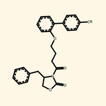 N#Cc1ccc(-c2ccccc2OCCCC(=O)N2C(=O)OCC2Cc2ccccc2)cc1